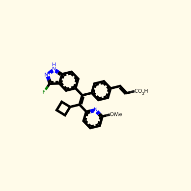 COc1cccc(C(=C(c2ccc(C=CC(=O)O)cc2)c2ccc3[nH]nc(F)c3c2)C2CCC2)n1